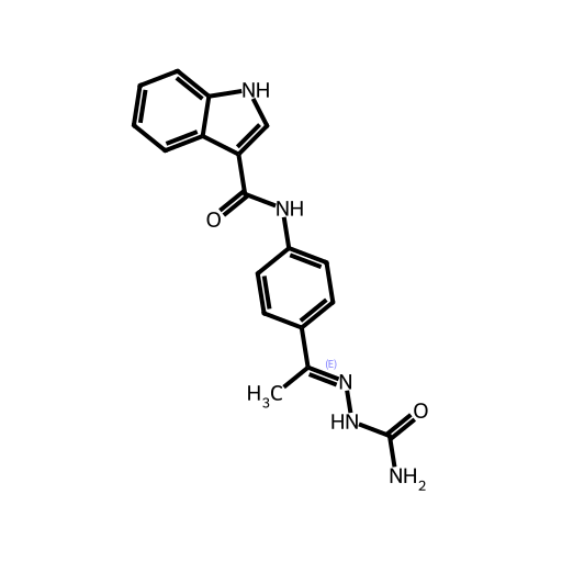 C/C(=N\NC(N)=O)c1ccc(NC(=O)c2c[nH]c3ccccc23)cc1